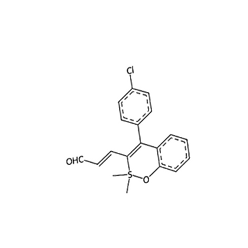 CS1(C)Oc2ccccc2C(c2ccc(Cl)cc2)=C1/C=C/C=O